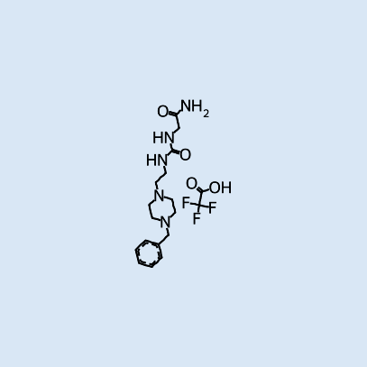 NC(=O)CNC(=O)NCCN1CCN(Cc2ccccc2)CC1.O=C(O)C(F)(F)F